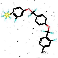 CCCCCCCCc1ccc(C(F)(F)OC2CC=C(C(F)(F)Oc3ccc(S(F)(F)(F)(F)F)c(F)c3)CC2)c(F)c1